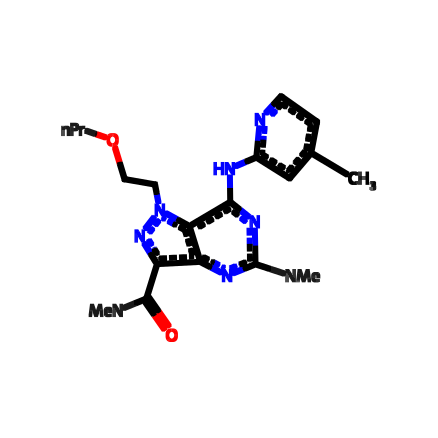 CCCOCCn1nc(C(=O)NC)c2nc(NC)nc(Nc3cc(C)ccn3)c21